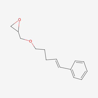 C(=Cc1ccccc1)CCCOCC1CO1